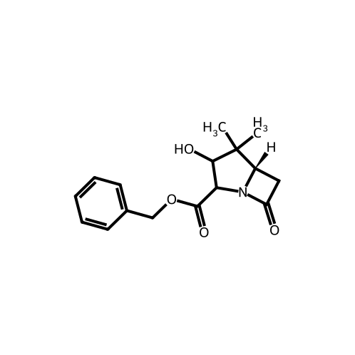 CC1(C)C(O)C(C(=O)OCc2ccccc2)N2C(=O)C[C@H]21